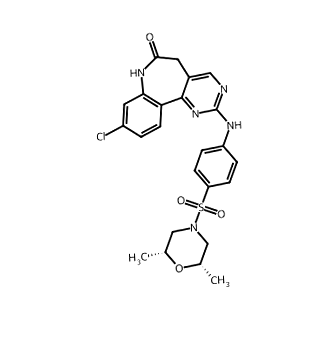 C[C@@H]1CN(S(=O)(=O)c2ccc(Nc3ncc4c(n3)-c3ccc(Cl)cc3NC(=O)C4)cc2)C[C@H](C)O1